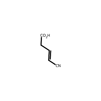 N#CC=CCC(=O)O